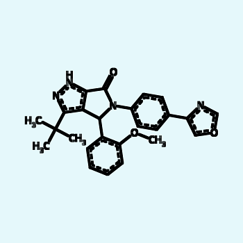 COc1ccccc1C1c2c(C(C)(C)C)n[nH]c2C(=O)N1c1ccc(-c2cocn2)cc1